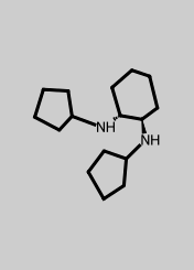 C1CCC(N[C@@H]2CCCC[C@H]2NC2CCCC2)C1